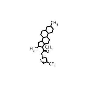 CC1CCC2C(CCC3C2CCC2(C)C3CC(C)C2C(=O)Cn2cc(C(F)(F)F)cn2)C1